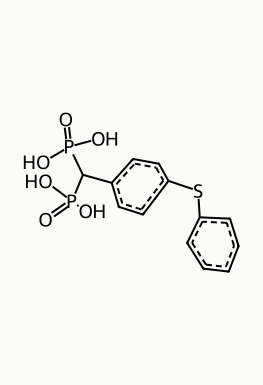 O=P(O)(O)C(c1ccc(Sc2ccccc2)cc1)P(=O)(O)O